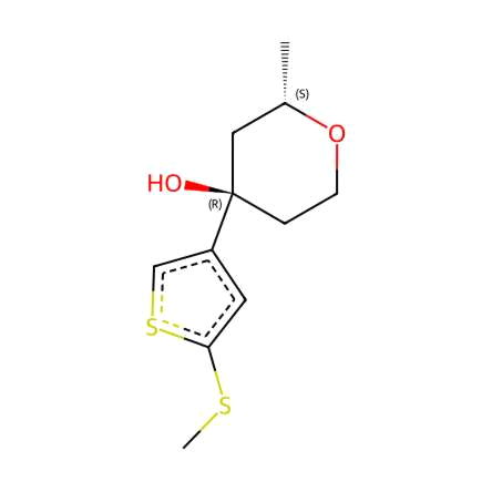 CSc1cc([C@@]2(O)CCO[C@@H](C)C2)cs1